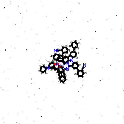 N#Cc1cccc(-c2ccccc2-c2nc(-c3cc(-c4ccccc4C#N)ccc3-n3c4ccc(-c5ccccc5)cc4c4cc(-c5ccccc5)ccc43)nc(-c3cc(-c4ccccc4C#N)ccc3-n3c4ccc(-c5ccccc5)cc4c4cc(-c5ccccc5)ccc43)n2)c1